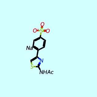 CC(=O)Nc1nc(-c2ccc(S(=O)(=O)[O-])cc2)cs1.[Na+]